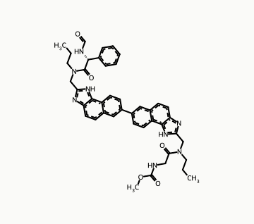 CCCN(Cc1nc2ccc3cc(-c4ccc5c(ccc6nc(CN(CCC)C(=O)[C@H](NC=O)c7ccccc7)[nH]c65)c4)ccc3c2[nH]1)C(=O)CNC(=O)OC